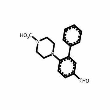 O=Cc1ccc(N2CCN(C(=O)O)CC2)c(-c2ccccc2)c1